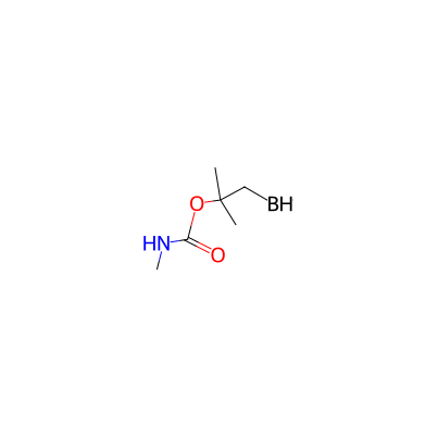 CBCC(C)(C)OC(=O)NC